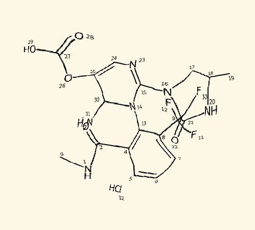 CNC(=O)c1cccc(C(F)(F)F)c1N1C(N2CC(C)NC2=O)=NC=C(OC(=O)O)C1N.Cl